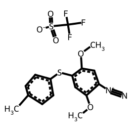 COc1cc(Sc2ccc(C)cc2)c(OC)cc1[N+]#N.O=S(=O)([O-])C(F)(F)F